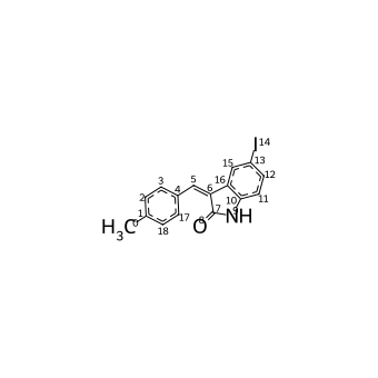 Cc1ccc(C=C2C(=O)Nc3ccc(I)cc32)cc1